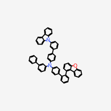 c1ccc(-c2cccc(N(c3ccc(-c4cccc(-n5c6ccccc6c6ccccc65)c4)cc3)c3ccc(-c4ccccc4-c4cccc5oc6ccccc6c45)cc3)c2)cc1